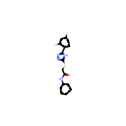 O=C(CSc1nnc(-c2ccc(F)cc2F)[nH]1)Nc1ccccc1